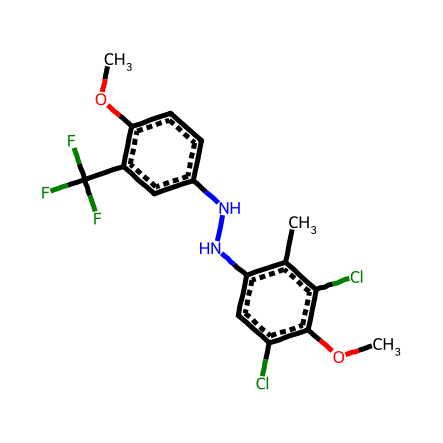 COc1ccc(NNc2cc(Cl)c(OC)c(Cl)c2C)cc1C(F)(F)F